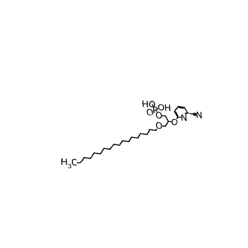 CCCCCCCCCCCCCCCCCCOCC(COP(=O)(O)O)Oc1cccc(C#N)n1